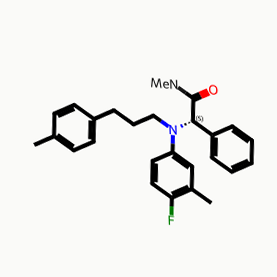 CNC(=O)[C@H](c1ccccc1)N(CCCc1ccc(C)cc1)c1ccc(F)c(C)c1